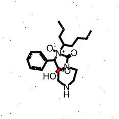 CCCCC(CCC)[N+]([O-])(C(=O)N1CCNCC1)C(C(=O)O)c1ccccc1